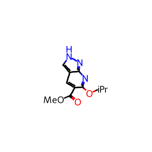 COC(=O)c1cc2c[nH]nc2nc1OC(C)C